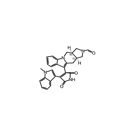 Cn1cc(C2=C(c3c4n(c5ccccc35)C[C@H]3CN(C=O)C[C@H]3C4)C(=O)NC2=O)c2ccccc21